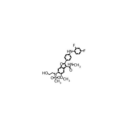 CNC(=O)c1c(-c2ccc(Nc3ccc(F)cc3F)cc2)oc2cc(N(CCO)S(C)(=O)=O)c(OC)cc12